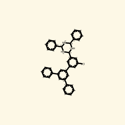 Clc1cc(-c2cc(-c3ccccc3)cc(-c3ccccc3)c2)cc(C2NC(c3ccccc3)NC(c3ccccc3)N2)c1